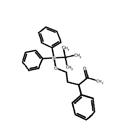 [CH2]C(=O)C(CCO[Si](c1ccccc1)(c1ccccc1)C(C)(C)C)c1ccccc1